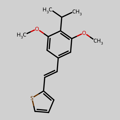 COc1cc(C=Cc2cccs2)cc(OC)c1C(C)C